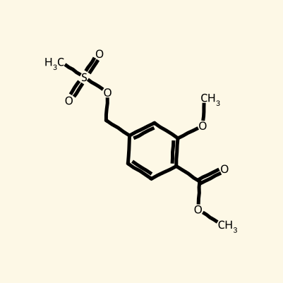 COC(=O)c1ccc(COS(C)(=O)=O)cc1OC